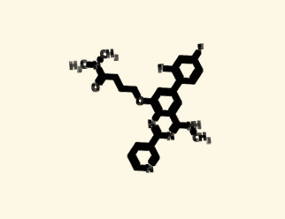 CNc1nc(-c2cccnc2)nc2c(OCCCC(=O)N(C)C)cc(-c3ccc(F)cc3F)cc12